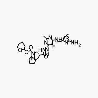 Cc1nc(NCc2csc(N)n2)c(F)c(NNC(=O)[C@@H](CNC(=O)OC2CCCCO2)CC2CCCC2)n1